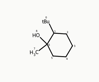 CC(C)(C)C1CCCCC1(C)O